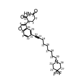 O=C1CCC(c2coc3ccc(C#CCCCCCCCN4CCC(F)(F)CC4)cc23)C(=O)N1